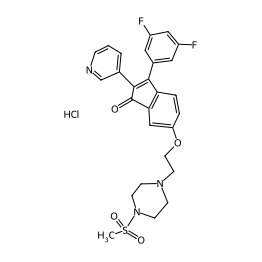 CS(=O)(=O)N1CCN(CCOc2ccc3c(c2)C(=O)C(c2cccnc2)=C3c2cc(F)cc(F)c2)CC1.Cl